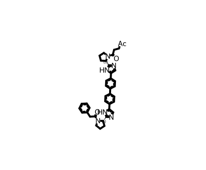 CC(=O)CCC(=O)N1CCC[C@H]1c1ncc(-c2ccc(-c3ccc(-c4cnc([C@@H]5CCCN5C(=O)Cc5ccccc5)[nH]4)cc3)cc2)[nH]1